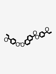 C=CC(=O)c1ccc(OCOc2ccc3cc(C(=O)Oc4ccc(C(=O)C=C)cc4)ccc3c2)cc1